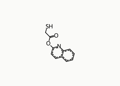 O=C(CS)Oc1ccc2ccccc2n1